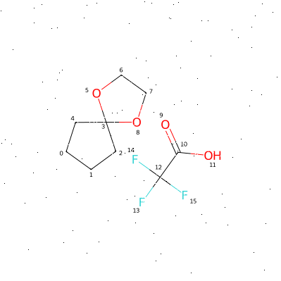 C1CCC2(C1)OCCO2.O=C(O)C(F)(F)F